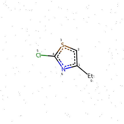 C[CH]c1csc(Cl)n1